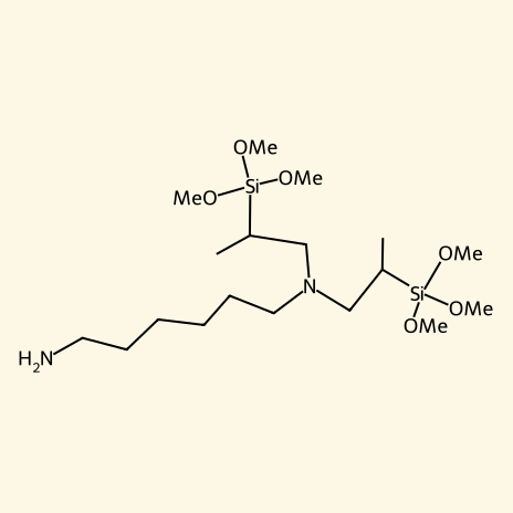 CO[Si](OC)(OC)C(C)CN(CCCCCCN)CC(C)[Si](OC)(OC)OC